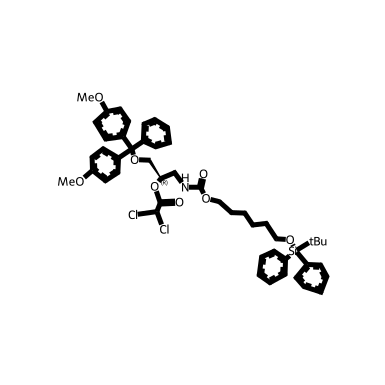 COc1ccc(C(OC[C@@H](CNC(=O)OCCCCCCO[Si](c2ccccc2)(c2ccccc2)C(C)(C)C)OC(=O)C(Cl)Cl)(c2ccccc2)c2ccc(OC)cc2)cc1